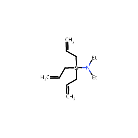 C=CC[Si](CC=C)(CC=C)N(CC)CC